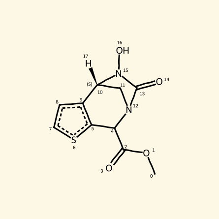 COC(=O)C1c2sccc2[C@H]2CN1C(=O)N2O